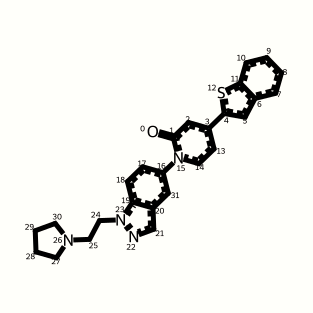 O=c1cc(-c2cc3ccccc3s2)ccn1-c1ccc2c(cnn2CCN2CCCC2)c1